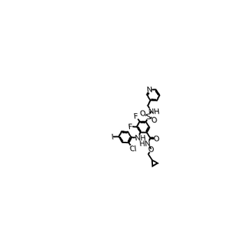 O=C(NOCC1CC1)c1cc(S(=O)(=O)NCc2cccnc2)c(F)c(F)c1Nc1ccc(I)cc1Cl